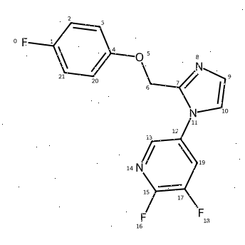 Fc1ccc(OCc2nccn2-c2cnc(F)c(F)c2)cc1